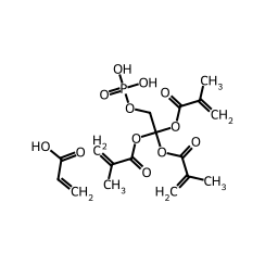 C=C(C)C(=O)OC(COP(=O)(O)O)(OC(=O)C(=C)C)OC(=O)C(=C)C.C=CC(=O)O